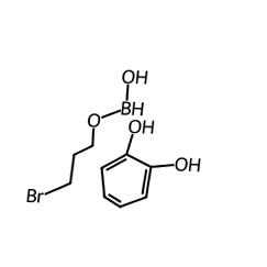 OBOCCCBr.Oc1ccccc1O